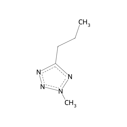 CCCc1nnn(C)n1